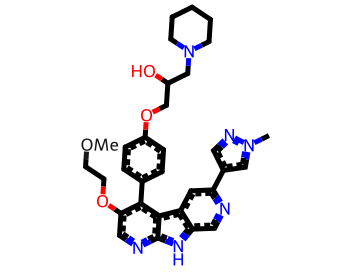 COCCOc1cnc2[nH]c3cnc(-c4cnn(C)c4)cc3c2c1-c1ccc(OCC(O)CN2CCCCC2)cc1